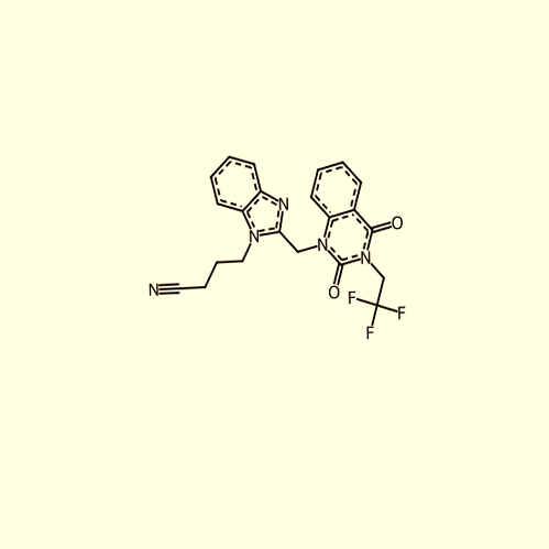 N#CCCCn1c(Cn2c(=O)n(CC(F)(F)F)c(=O)c3ccccc32)nc2ccccc21